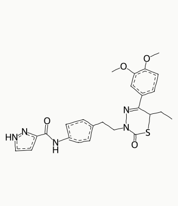 CCC1SC(=O)N(CCc2ccc(NC(=O)c3cc[nH]n3)cc2)N=C1c1ccc(OC)c(OC)c1